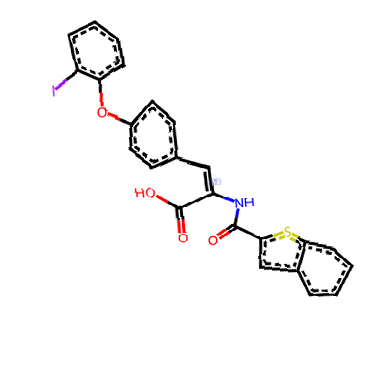 O=C(O)/C(=C\c1ccc(Oc2ccccc2I)cc1)NC(=O)c1cc2ccccc2s1